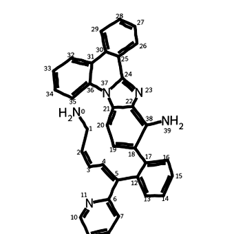 NC/C=C\C=C(c1ccccn1)c1ccccc1-c1ccc2c(nc3c4ccccc4c4ccccc4n23)c1N